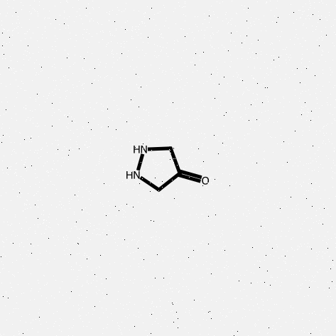 O=C1[CH]NNC1